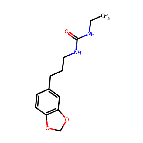 CCNC(=O)NCCCc1ccc2c(c1)OCO2